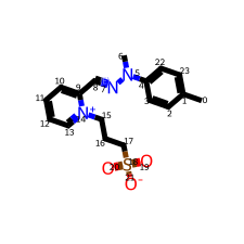 Cc1ccc(N(C)/N=C/c2cccc[n+]2CCCS(=O)(=O)[O-])cc1